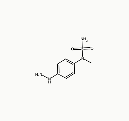 CN(c1ccc(NN)cc1)S(N)(=O)=O